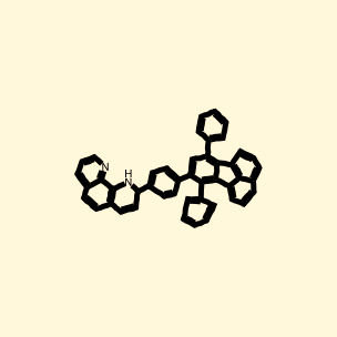 C1=CC(c2ccc(-c3cc(-c4ccccc4)c4c(c3-c3ccccc3)-c3cccc5cccc-4c35)cc2)Nc2c1ccc1cccnc21